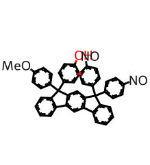 COc1ccc(C2(c3ccc(O)cc3)c3ccccc3-c3cc4c(cc32)C(c2ccc(N=O)cc2)(c2ccc(N=O)cc2)c2ccccc2-4)cc1